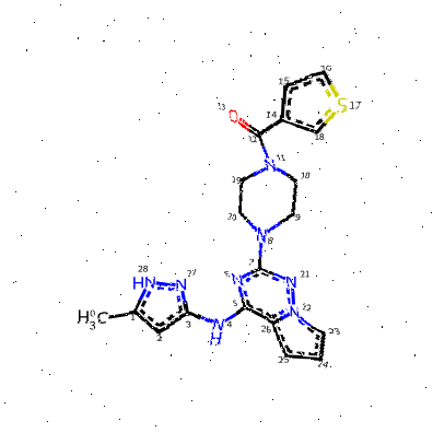 Cc1cc(Nc2nc(N3CCN(C(=O)c4ccsc4)CC3)nn3cccc23)n[nH]1